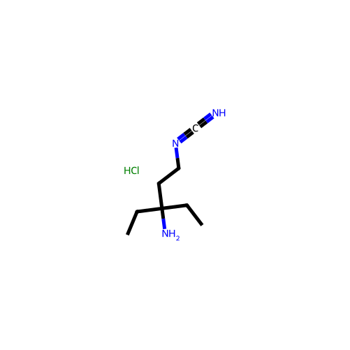 CCC(N)(CC)CCN=C=N.Cl